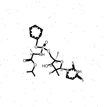 CC(C)OC(=O)[C@H](C)NP(=O)(OC[C@@]1(F)O[C@@H](n2ccc(=S)[nH]c2=S)C(C)(F)[C@H]1O)Oc1ccccc1